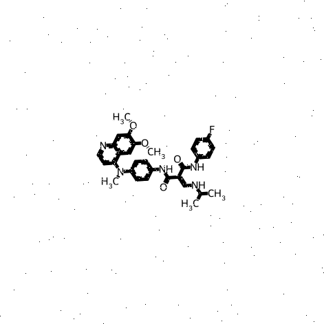 COc1cc2nccc(N(C)c3ccc(NC(=O)/C(=C/NC(C)C)C(=O)Nc4ccc(F)cc4)cc3)c2cc1OC